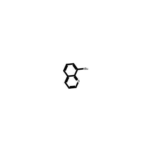 CC(C)(C)c1cccc2cc[c]nc12